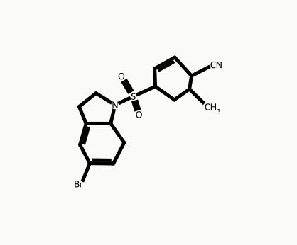 CC1CC(S(=O)(=O)N2CCC3=CC(Br)=CCC32)C=CC1C#N